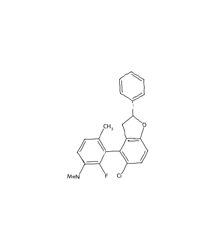 CNc1ccc(C)c(-c2c(Cl)ccc3c2CC(c2ccccc2)O3)c1F